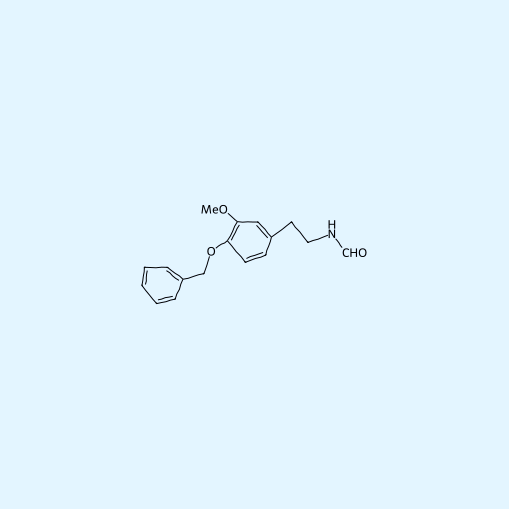 COc1cc(CCNC=O)ccc1OCc1ccccc1